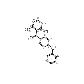 O=C(c1ccc(Oc2ccccc2)cc1)c1c(Cl)ncnc1Cl